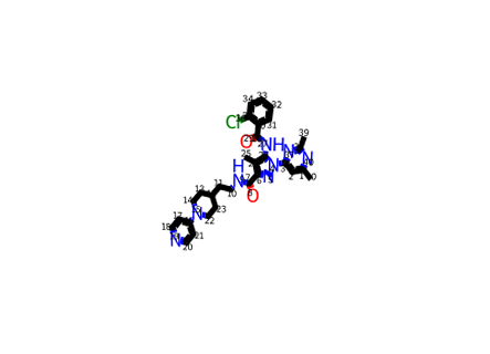 Cc1cc(-n2nc(C(=O)NCCC3CCN(c4ccncc4)CC3)c(C)c2NC(=O)c2ccccc2Cl)nc(C)n1